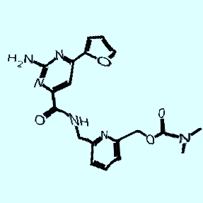 CN(C)C(=O)OCc1cccc(CNC(=O)c2cc(-c3ccco3)nc(N)n2)n1